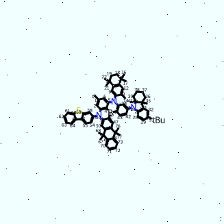 Cc1cc2c3c(c1)N(c1cc4c(cc1C)C(C)(C)CCC4(C)C)c1cc(N4c5ccc(C(C)(C)C)cc5C5(C)CCCCC45C)ccc1B3c1cc3c(cc1N2c1ccc2c(c1)sc1ccccc12)C(C)(C)c1ccccc1C3(C)C